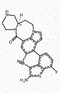 N#Cc1c(N)sc2c(F)ccc(-c3c(F)cc4c5c3ccn5CC[C@@H]3CNCCN3C4=O)c12